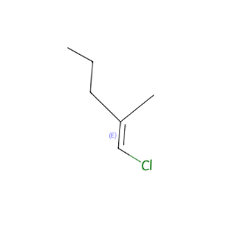 CCC/C(C)=C/Cl